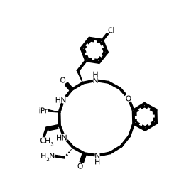 C/C=C1\N[C@@H](CN)C(=O)NCCCc2ccccc2OCCN[C@H](Cc2ccc(Cl)cc2)C(=O)N[C@@H]1C(C)C